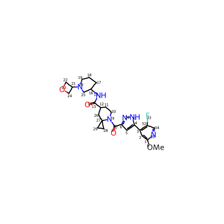 COc1cc(-c2cc(C(=O)N3CCC(C(=O)NC4CCCN(C5COC5)C4)CC34CC4)n[nH]2)c(F)cn1